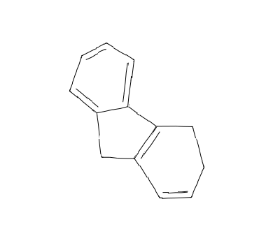 C1=CC2=C(CC1)c1ccccc1C2